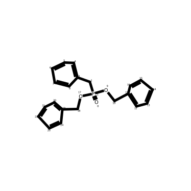 O=P(Cc1ccccc1)(OCc1ccccc1)OCc1ccccc1